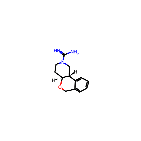 N=C(N)N1CC[C@@H]2OCc3ccccc3[C@H]2C1